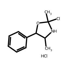 CC1NC(C)(Cl)OC1c1ccccc1.Cl